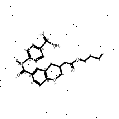 CCCCOC(=O)CC1COc2ccc(C(=O)N(C)c3ccc(C(=N)N)cc3)cc2C1